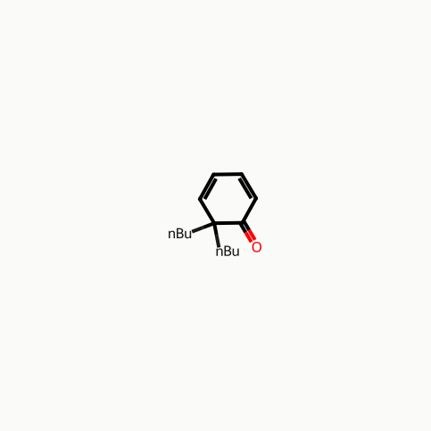 CCCCC1(CCCC)C=CC=CC1=O